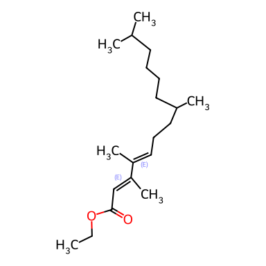 CCOC(=O)/C=C(C)/C(C)=C/CCC(C)CCCCC(C)C